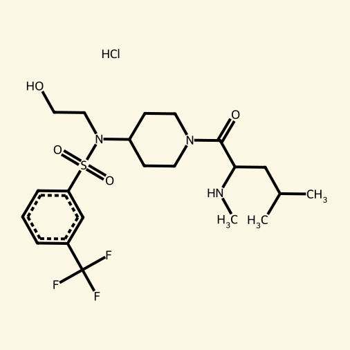 CNC(CC(C)C)C(=O)N1CCC(N(CCO)S(=O)(=O)c2cccc(C(F)(F)F)c2)CC1.Cl